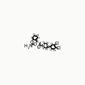 NC(=O)O[C@@H](CC(=O)N1CCN(c2ccc(Cl)c(Cl)c2)CC1)c1ccccc1